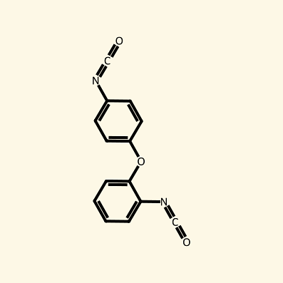 O=C=Nc1ccc(Oc2ccccc2N=C=O)cc1